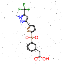 Cn1nc(-c2ccc(S(=O)(=O)c3cccc(CC(=O)O)c3)s2)cc1C(F)(F)F